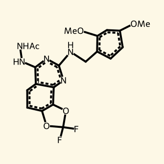 COc1ccc(CNc2nc(NNC(C)=O)c3ccc4c(c3n2)OC(F)(F)O4)c(OC)c1